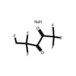 O=C(C(=O)C(F)(F)CF)C(F)(F)F.[NaH]